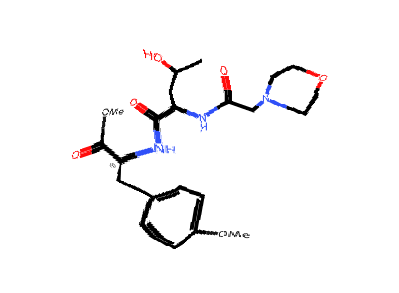 COC(=O)[C@H](Cc1ccc(OC)cc1)NC(=O)C(NC(=O)CN1CCOCC1)C(C)O